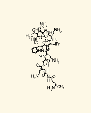 CCNC(=O)C(NC(=O)[C@H](CCN)NC(=O)[C@H](CCN)NC(=O)[C@H](CC(C)C)NC(=O)[C@@H](Cc1ccccc1)NC(=O)[C@H](CCN)NC(=O)CNC(=O)[C@H](CCN)NC(=O)CNC(=O)CC[C@H](C)N)C(C)O